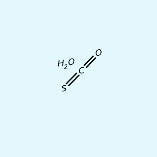 O.O=C=S